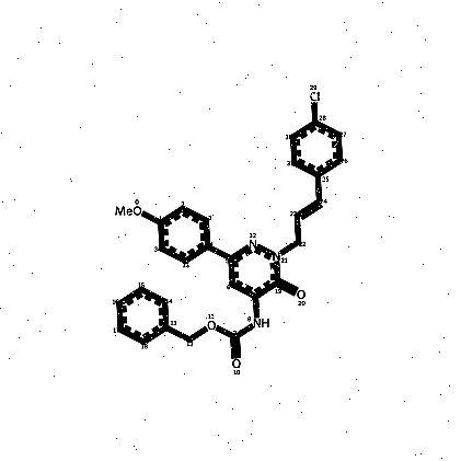 COc1ccc(-c2cc(NC(=O)OCc3ccccc3)c(=O)n(CC=Cc3ccc(Cl)cc3)n2)cc1